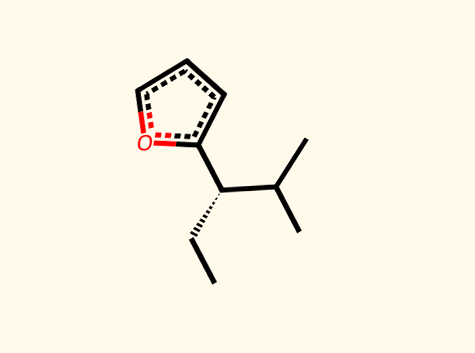 CC[C@H](c1ccco1)C(C)C